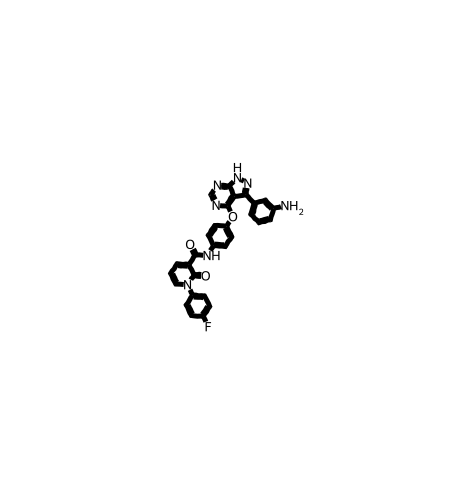 Nc1cccc(-c2n[nH]c3ncnc(Oc4ccc(NC(=O)c5cccn(-c6ccc(F)cc6)c5=O)cc4)c23)c1